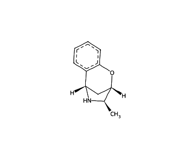 C[C@H]1N[C@H]2C[C@@H]1Oc1ccccc12